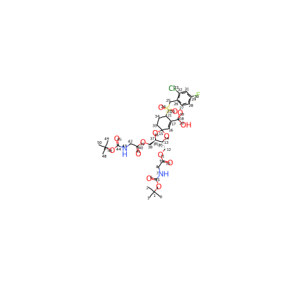 CC(C)(C)OC(=O)NCC(=O)OC[C@H]1OC2(C=C(C(=O)O)C(S(=O)(=O)Cc3ccc(F)cc3Cl)CC2)O[C@@H]1COC(=O)CNC(=O)OC(C)(C)C